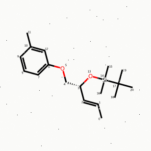 C/C=C/[C@H](COc1cccc(C)c1)O[Si](C)(C)C(C)(C)C